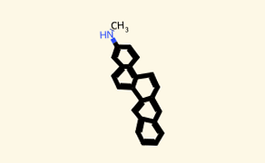 CNc1ccc2c(ccc3c4cc5ccccc5cc4ccc23)c1